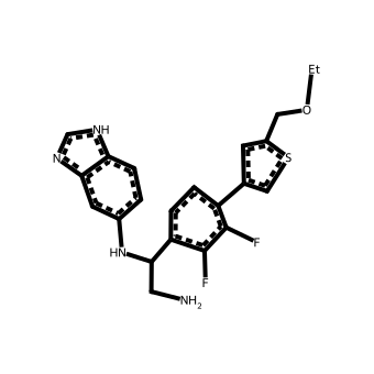 CCOCc1cc(-c2ccc(C(CN)Nc3ccc4[nH]cnc4c3)c(F)c2F)cs1